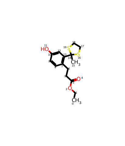 CCOC(=O)CCc1ccc(O)cc1C1(C)SCCS1